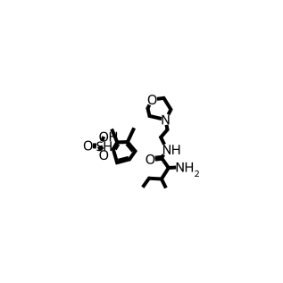 CCC(C)C(N)C(=O)NCCN1CCOCC1.Cc1ccccc1C.O=[SH](=O)O